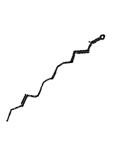 CCC=CCCCCCC=C[C]=O